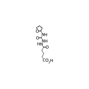 O=C(O)CCCC(=O)NNC(=O)Nc1ccco1